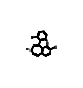 C[C@H]1C=Nc2ccc(Cl)c(Cl)c2C(c2c(F)cccc2F)=N1